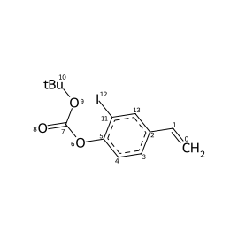 C=Cc1ccc(OC(=O)OC(C)(C)C)c(I)c1